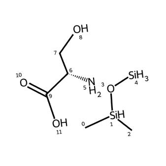 C[SiH](C)O[SiH3].N[C@@H](CO)C(=O)O